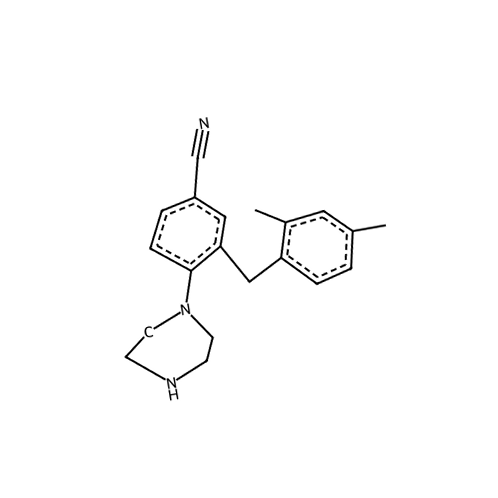 Cc1ccc(Cc2cc(C#N)ccc2N2CCNCC2)c(C)c1